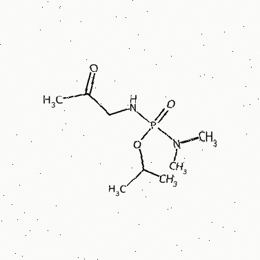 CC(=O)CNP(=O)(OC(C)C)N(C)C